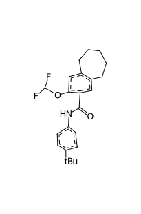 CC(C)(C)c1ccc(NC(=O)c2cc3c(cc2OC(F)F)CCCCC3)cc1